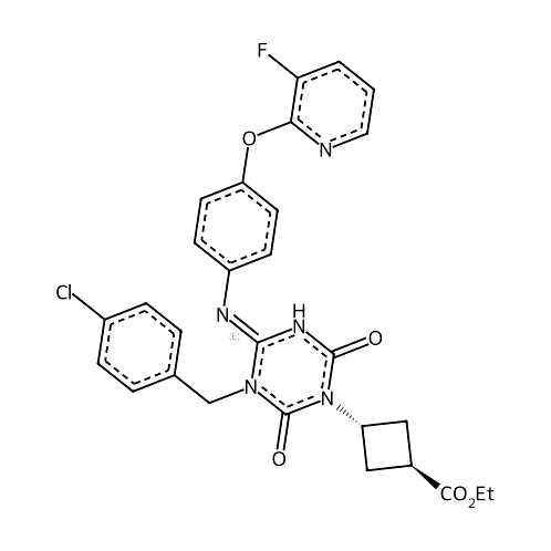 CCOC(=O)[C@H]1C[C@H](n2c(=O)[nH]/c(=N\c3ccc(Oc4ncccc4F)cc3)n(Cc3ccc(Cl)cc3)c2=O)C1